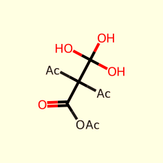 CC(=O)OC(=O)C(C(C)=O)(C(C)=O)C(O)(O)O